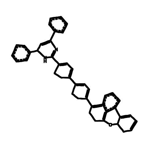 C1=CCC2OC3=c4c(cccc4=C(C4=CC=C(C5=CC=C(C6=NC(c7ccccc7)=CC(c7ccccc7)N6)CC5)CC4)CC3)C2=C1